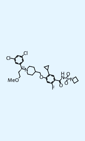 COCC[C@@H](c1cc(Cl)cc(Cl)c1)N1CCC(COc2cc(F)c(C(=O)NS(=O)(=O)N3CCC3)cc2C2CC2)CC1